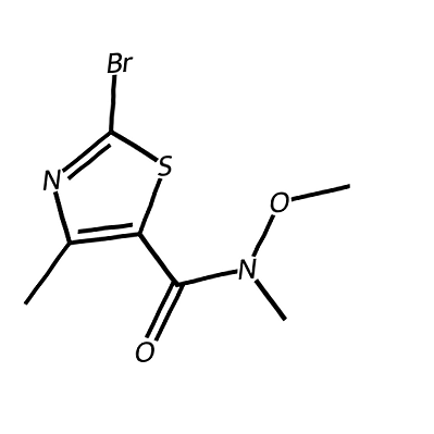 CON(C)C(=O)c1sc(Br)nc1C